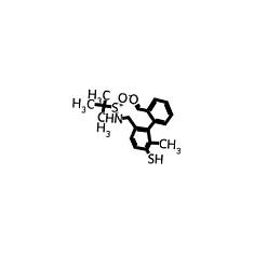 Cc1c(S)ccc(CN[S+]([O-])C(C)(C)C)c1-c1ccccc1C=O